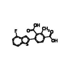 Cc1c(C(=O)O)ccc(-c2cc3c(F)cccc3s2)c1C(=O)O